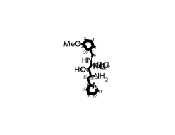 COc1cccc(CNC[C@@H](O)[C@@H](N)Cc2ccccn2)c1.Cl.Cl.Cl